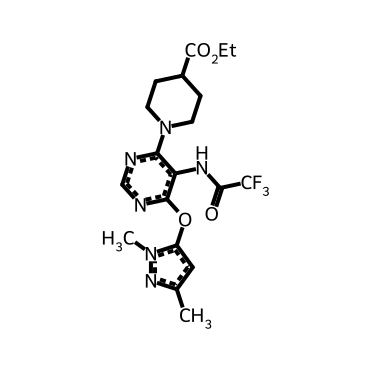 CCOC(=O)C1CCN(c2ncnc(Oc3cc(C)nn3C)c2NC(=O)C(F)(F)F)CC1